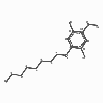 CCCCCCCCOc1cc(C)c(SC)cc1C